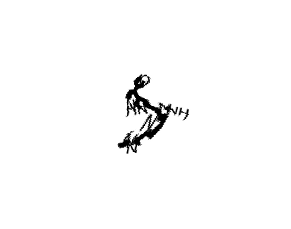 Cc1ncc(-c2ccc3[nH]nc(-c4cc5c(-c6ccoc6)ccnc5[nH]4)c3n2)n1C